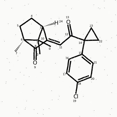 CC1(C)[C@H]2CC[C@]1(C)C(=O)/C2=C/C(=O)C1(c2ccc(Cl)cc2)CC1